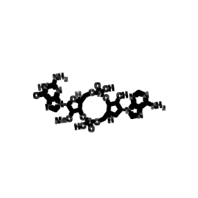 COC1C2OP(=O)(O)OC[C@H]3C[C@@H](n4cnc5c(N)ncnc54)C(O)C3OP(=O)(O)OC[C@H]2O[C@H]1n1cnc2c(=O)[nH]c(N)nc21